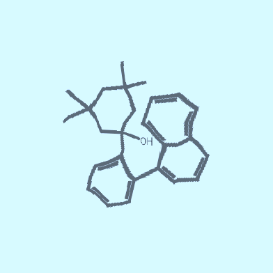 CC1(C)CC(C)(C)CC(O)(c2ccccc2-c2cccc3ccccc23)C1